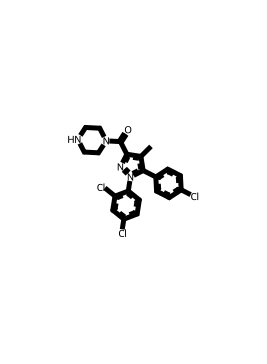 Cc1c(C(=O)N2CCNCC2)nn(-c2ccc(Cl)cc2Cl)c1-c1ccc(Cl)cc1